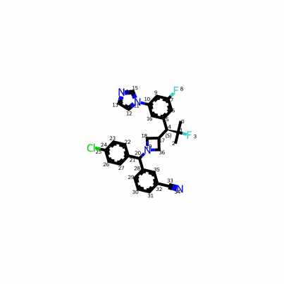 CC(C)(F)[C@H](c1cc(F)cc(-n2ccnc2)c1)C1CN(C(c2ccc(Cl)cc2)c2cccc(C#N)c2)C1